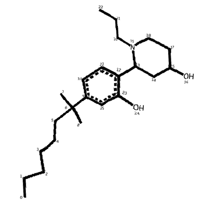 CCCCCCC(C)(C)c1ccc(C2CC(O)CCN2CCC)c(O)c1